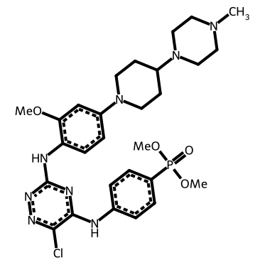 COc1cc(N2CCC(N3CCN(C)CC3)CC2)ccc1Nc1nnc(Cl)c(Nc2ccc(P(=O)(OC)OC)cc2)n1